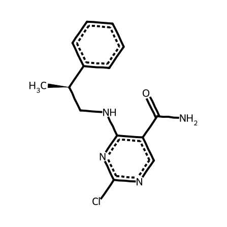 C[C@H](CNc1nc(Cl)ncc1C(N)=O)c1ccccc1